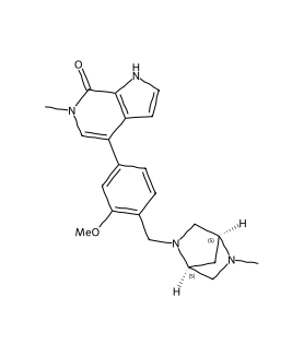 COc1cc(-c2cn(C)c(=O)c3[nH]ccc23)ccc1CN1C[C@@H]2C[C@H]1CN2C